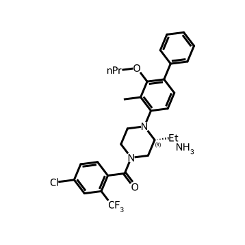 CCCOc1c(-c2ccccc2)ccc(N2CCN(C(=O)c3ccc(Cl)cc3C(F)(F)F)C[C@H]2CC)c1C.N